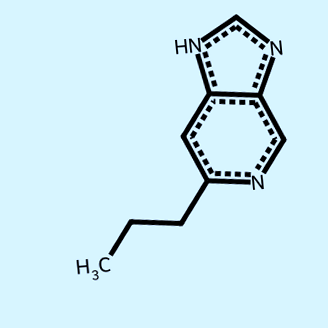 CCCc1cc2[nH]cnc2cn1